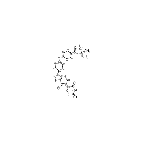 Cc1c(N2CCC(=O)NC2=O)ccc2c1ccn2C1CCN(CC2CCN(C(=O)OC(C)(C)C)CC2)CC1